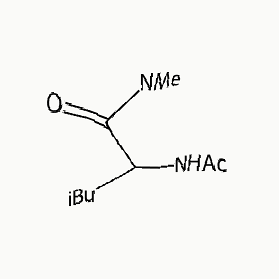 CCC(C)C(NC(C)=O)C(=O)NC